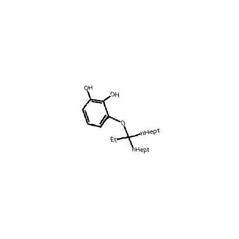 CCCCCCCC(CC)(CCCCCCC)Oc1cccc(O)c1O